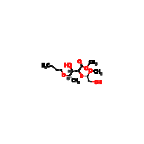 CCCCO[C@@H](C)[C@@H](O)C(OC(CO)OC)C(=O)OC